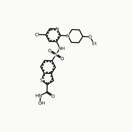 CCOC1CCN(c2ncc(Cl)cc2NS(=O)(=O)c2ccc3sc(C(=O)NO)cc3c2)CC1